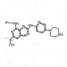 CC(C)Nc1nc([C@@H](C)O)cc2cnc(Nc3ccc(N4CCNCC4)nn3)nc12